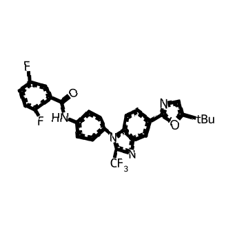 CC(C)(C)c1cnc(-c2ccc3c(c2)nc(C(F)(F)F)n3-c2ccc(NC(=O)c3cc(F)ccc3F)cc2)o1